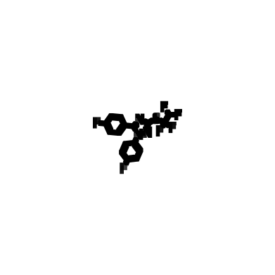 Fc1ccc(-c2nc(SC(F)(F)C(F)F)nn2-c2ccc(F)cc2)cc1